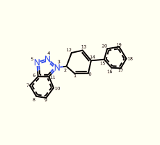 C1=CC(n2nnc3ccccc32)CC=C1c1ccccc1